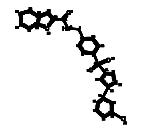 O=C(NCc1ccc(S(=O)(=O)c2cnn(-c3cccc(Cl)c3)c2)cc1)c1cc2ccncc2o1